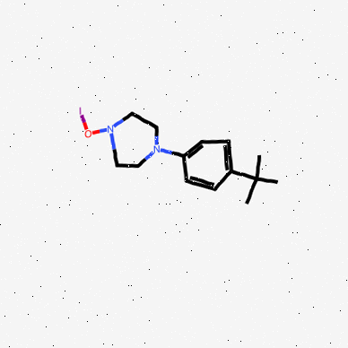 CC(C)(C)c1ccc(N2CCN(OI)CC2)cc1